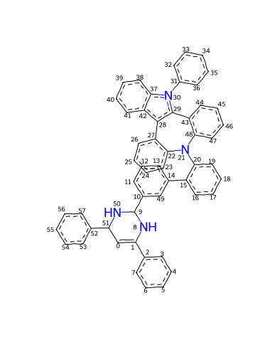 C1=C(c2ccccc2)NC(c2cccc(-c3ccccc3N3c4ccccc4-c4c(n(-c5ccccc5)c5ccccc45)-c4ccccc43)c2)NC1c1ccccc1